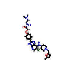 Cc1ccc(CN2CCC(Nc3c(Cl)cnc4[nH]c(-c5ccc(OCC(=O)NCCN(C)C)cc5)nc34)CC2)o1